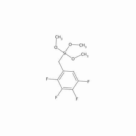 CO[Si](Cc1cc(F)c(F)c(F)c1F)(OC)OC